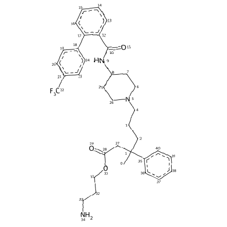 CC(CCCN1CCC(NC(=O)c2ccccc2-c2ccc(C(F)(F)F)cc2)CC1)(CC(=O)OCCCN)c1ccccc1